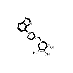 O[C@H]1[C@H](O)CN(C[C@H]2CCN(c3cccc4scnc34)C2)C[C@@H]1O